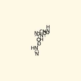 Cc1ncc(C#N)c(Nc2ccc3[nH]ccc3c2C)c1-c1ccc(OCCNC2CCN(C)CC2)cc1